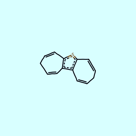 C1=Cc2sc3c(c2C=CC1)C=CCC=C3